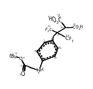 CC(C)(C)OC(=O)Nc1ccc(C(C(C(=O)O)C(=O)O)(C(F)(F)F)C(F)(F)F)cc1